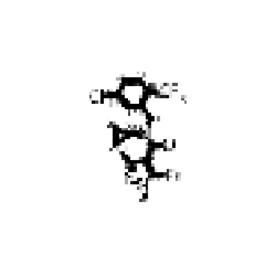 Cc1nn(C)c(F)c1C(=O)N(Cc1cc(Cl)ccc1C(F)(F)F)C1CC1